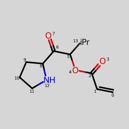 C=CC(=O)OC(C(=O)C1CCCN1)C(C)C